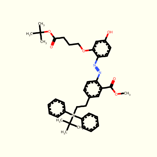 COC(=O)c1cc(CC[Si](c2ccccc2)(c2ccccc2)C(C)(C)C)ccc1/N=N/c1ccc(O)cc1OCCCC(=O)OC(C)(C)C